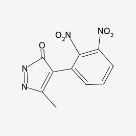 CC1=C(c2cccc([N+](=O)[O-])c2[N+](=O)[O-])C(=O)N=N1